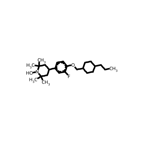 CCCC1CCC(COc2ccc(C3CC(C)(C)N(O)C(C)(C)C3)cc2F)CC1